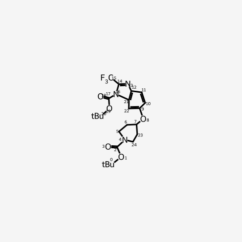 CC(C)(C)OC(=O)N1CCC(Oc2ccc3nc(C(F)(F)F)n(C(=O)OC(C)(C)C)c3c2)CC1